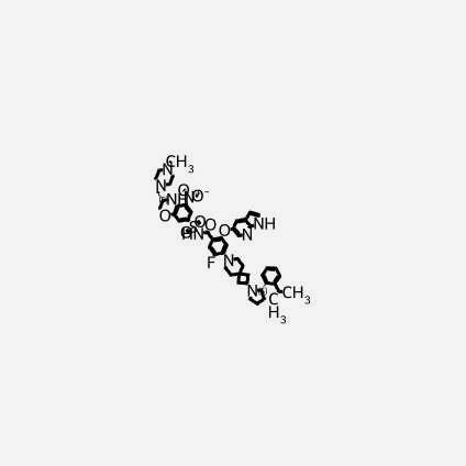 CC(C)c1ccccc1[C@@H]1CCCN1C1CC2(CCN(c3cc(Oc4cnc5[nH]ccc5c4)c(C(=O)NS(=O)(=O)c4cc5c(c([N+](=O)[O-])c4)N[C@@H](CN4CCN(C)CC4)CO5)cc3F)CC2)C1